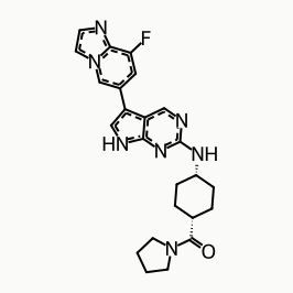 O=C([C@H]1CC[C@@H](Nc2ncc3c(-c4cc(F)c5nccn5c4)c[nH]c3n2)CC1)N1CCCC1